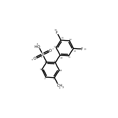 Cc1ccc(S(=O)(=O)O)c(-c2cc(F)cc(F)c2)c1